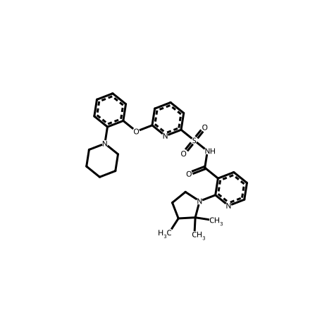 CC1CCN(c2ncccc2C(=O)NS(=O)(=O)c2cccc(Oc3ccccc3N3CCCCC3)n2)C1(C)C